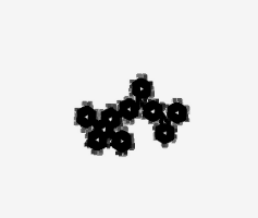 C1=C(N(c2ccccc2)c2ccccc2)CCC(N(c2ccccc2)c2ccc(-c3ccc4c(-c5ccccc5)c5ccccc5c(-c5ccccc5)c4c3)cc2)=C1